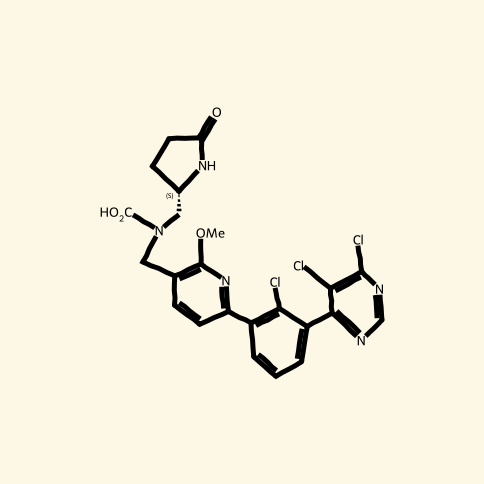 COc1nc(-c2cccc(-c3ncnc(Cl)c3Cl)c2Cl)ccc1CN(C[C@@H]1CCC(=O)N1)C(=O)O